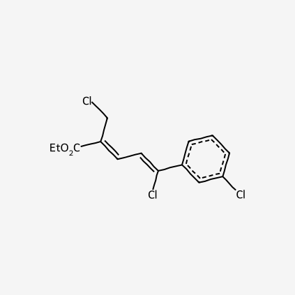 CCOC(=O)C(=CC=C(Cl)c1cccc(Cl)c1)CCl